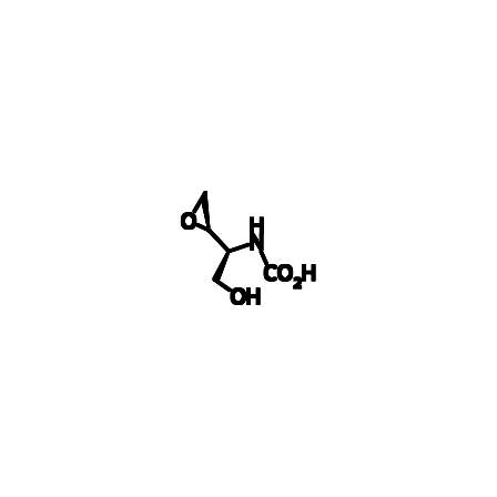 O=C(O)N[C@@H](CO)[C@@H]1CO1